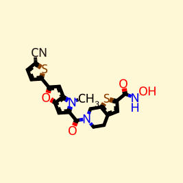 Cn1c(C(=O)N2CCc3cc(C(=O)NO)sc3C2)cc2oc(-c3ccc(C#N)s3)cc21